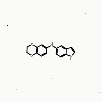 c1cc2cc(Nc3ccc4c(c3)OCCO4)ccc2[nH]1